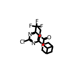 CCOC(=O)CC1C2CC1CN(c1cc(C(F)(F)F)nc(Cl)n1)C2